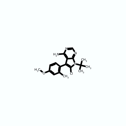 COc1ccc(-c2c(Cl)n(C(C)(C)C)c3ncnc(N)c23)c(C)c1